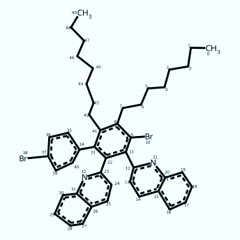 CCCCCCCCc1c(Br)c(-c2ccc3ccccc3n2)c(-c2ccc3ccccc3n2)c(-c2ccc(Br)cc2)c1CCCCCCCC